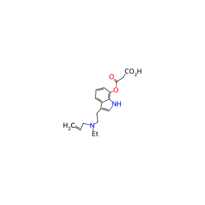 C=CCN(CC)CCc1c[nH]c2c(OC(=O)CC(=O)O)cccc12